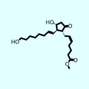 COC(=O)CCC/C=C\C[C@H]1C(=O)C[C@@H](O)[C@@H]1C=CCCCCCCO